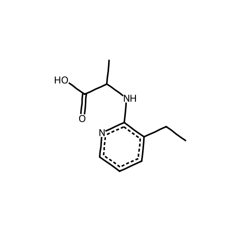 CCc1cccnc1NC(C)C(=O)O